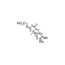 CCC1(C)C=C(OCC(=O)O)C=C(C)C1Cc1ccc(O)c(C(C)C)c1